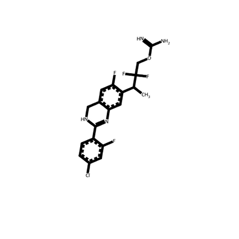 CC(c1cc2c(cc1F)CNC(c1ccc(Cl)cc1F)=N2)C(F)(F)COC(=N)N